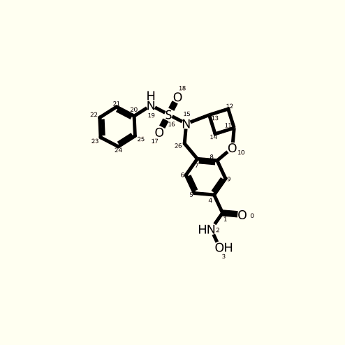 O=C(NO)c1ccc2c(c1)OC1CC(C1)N(S(=O)(=O)Nc1ccccc1)C2